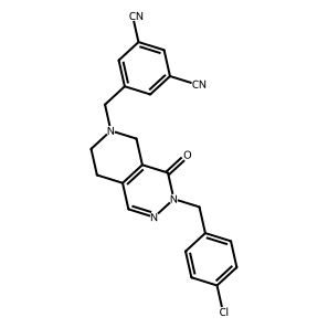 N#Cc1cc(C#N)cc(CN2CCc3cnn(Cc4ccc(Cl)cc4)c(=O)c3C2)c1